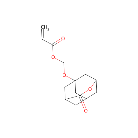 C=CC(=O)OCOC12CC3CC(C1)OC(=O)C(C3)C2